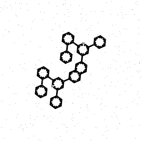 c1ccc(-c2cc(-c3ccc4ccc(-c5cc(-c6ccccc6)nc(-c6ccccc6-c6ccccc6)c5)cc4c3)cc(-c3ccccc3-c3ccccc3)n2)cc1